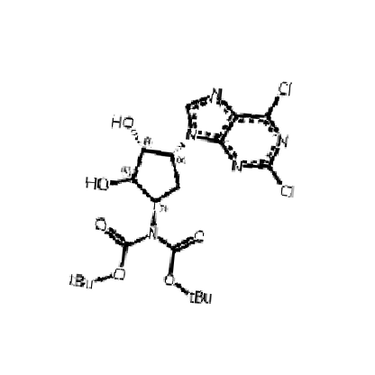 CC(C)(C)OC(=O)N(C(=O)OC(C)(C)C)[C@@H]1C[C@@H](n2cnc3c(Cl)nc(Cl)nc32)[C@@H](O)[C@@H]1O